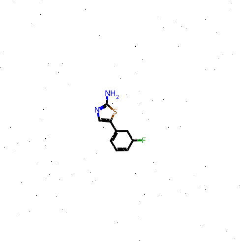 Nc1ncc(C2=CC=CC(F)C2)s1